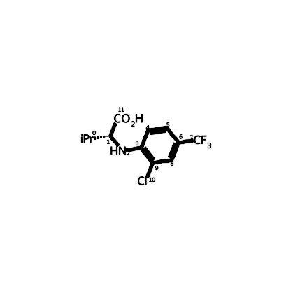 CC(C)[C@@H](Nc1ccc(C(F)(F)F)cc1Cl)C(=O)O